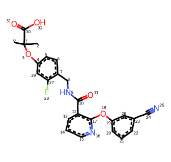 CC(C)(Oc1ccc(CNC(=O)c2cccnc2Oc2cccc(C#N)c2)c(F)c1)C(=O)O